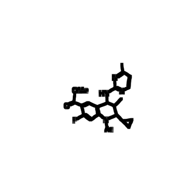 COC(=O)c1cc2c(cc1F)N(C(C)=O)C(C1CC1)C(C)C2Nc1nccc(C)n1